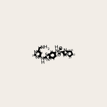 NCc1cc(Nc2nc3ccc(NS(=O)(=O)c4cn5c(n4)CCC5)cc3s2)ncn1